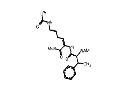 CCCC(=O)NCCCC=C(NC(=O)C(NC)C(C)c1ccccc1)C(=O)NC